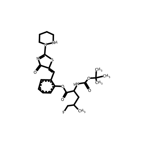 CC(CF)CC(NC(=O)OC(C)(C)C)C(=O)Oc1ccccc1C=C1SC(N2CCCCN2)=NC1=O